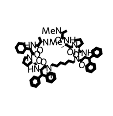 CN[C@@H](C)C(=O)N[C@@H](C)C(=O)N1CCC[C@H]1C(=O)N[C@H](C(=O)NCCCCCCNC(=O)[C@@H](NC(=O)[C@@H]1CCCN1C(=O)[C@@H](NC(=O)[C@H](C)NC)C1CCCCC1)C(c1ccccc1)c1ccccc1)C(c1ccccc1)c1ccccc1